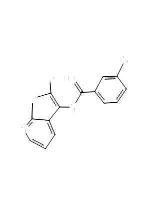 O=C(Nc1c(C(=O)O)oc2ncccc12)c1cccc([N+](=O)[O-])c1